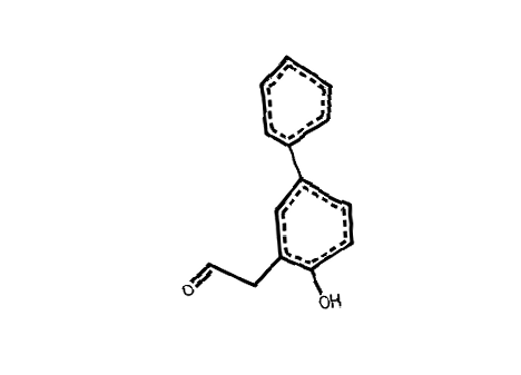 O=CCc1cc(-c2ccccc2)ccc1O